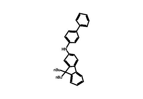 CCCCC1(CCCC)c2ccccc2-c2ccc(Nc3ccc(-c4ccccc4)cc3)cc21